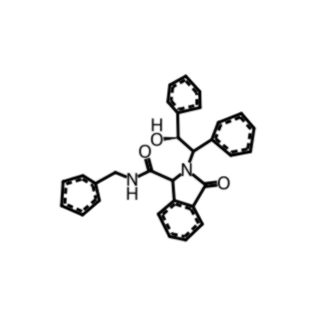 O=C(NCc1ccccc1)C1c2ccccc2C(=O)N1C(c1ccccc1)[C@@H](O)c1ccccc1